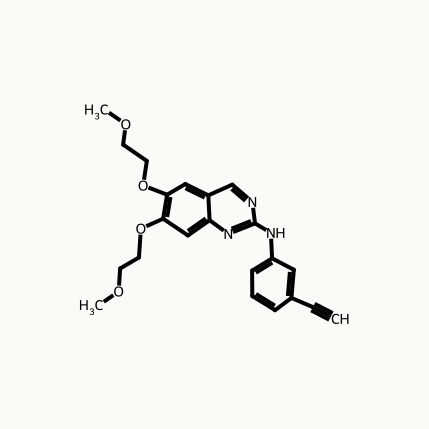 C#Cc1cccc(Nc2ncc3cc(OCCOC)c(OCCOC)cc3n2)c1